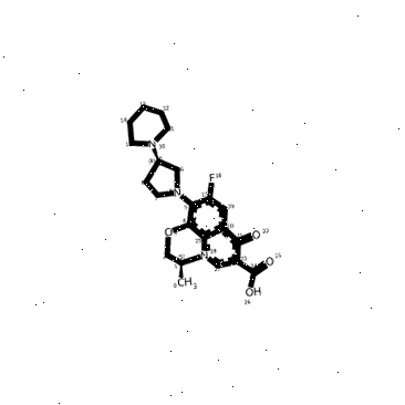 C[C@H]1COc2c(N3CC[C@@H](N4CCCCC4)C3)c(F)cc3c(=O)c(C(=O)O)cn1c23